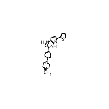 CN1CCN(c2ccc(C(=O)Nc3nc(-c4cccs4)ccc3N)cn2)CC1